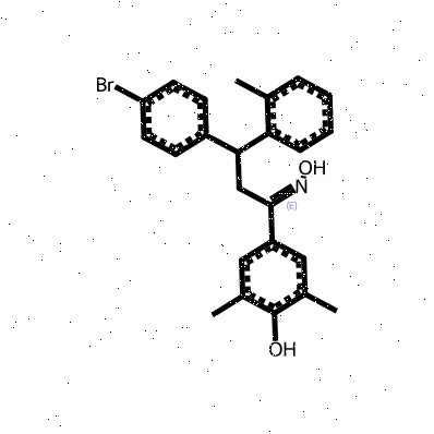 Cc1ccccc1C(C/C(=N\O)c1cc(C)c(O)c(C)c1)c1ccc(Br)cc1